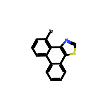 [Lr][c]1cccc2c3ccccc3c3scnc3c12